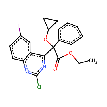 CCOC(=O)C(OC1CC1)(c1ccccc1)c1nc(Cl)nc2ccc(I)cc12